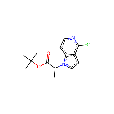 CC(C(=O)OC(C)(C)C)n1ccc2c(Cl)nccc21